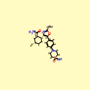 CC(C)(C)c1nc([C@@H]2CC[C@H](F)C[C@H]2C(N)=O)c(-c2ccc(N3CCS(=N)(=O)CC3)cc2)o1